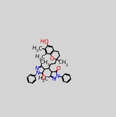 CC1=NN(c2ccccc2)C(=O)C1C(CCC1(C)CCc2cc(O)c(C)c(C)c2O1)C1C(=O)N(c2ccccc2)N=C1C